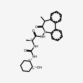 CC1C(=O)N(NC(=O)[C@H](C)NC(=O)N[C@H]2CCCC[C@H]2O)c2ccccc2-c2ccccc21